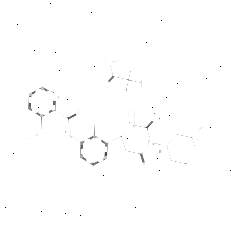 COc1cccnc1C(=O)Nc1cccc([C@]2(C)CC(=O)N([C@@H]3CCO[C@H](C)C3)C(=N)N2)c1Cl.O=C(O)C(F)(F)F